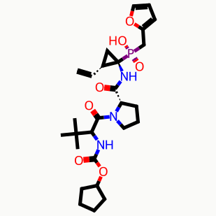 C=C[C@@H]1C[C@]1(NC(=O)[C@@H]1CCCN1C(=O)C(NC(=O)OC1CCCC1)C(C)(C)C)P(=O)(O)Cc1ccco1